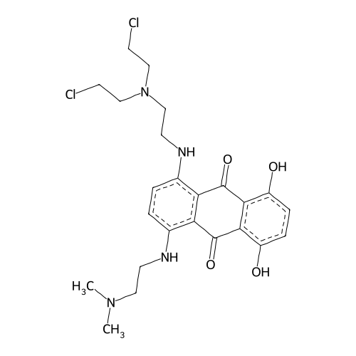 CN(C)CCNc1ccc(NCCN(CCCl)CCCl)c2c1C(=O)c1c(O)ccc(O)c1C2=O